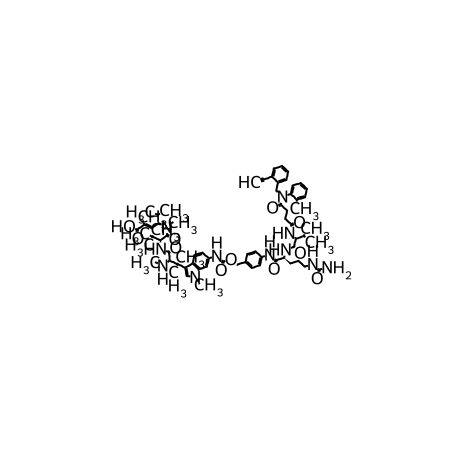 C#Cc1ccccc1CN(C(=O)CCC(=O)N[C@H](C(=O)N[C@@H](CCCNC(N)=O)C(=O)Nc1ccc(COC(=O)Nc2ccc3c(C(C)(C)C(NC)C(=O)N[C@H](C(=O)N(C)[C@H](/C=C(\C)C(=O)O)C(C)C)C(C)(C)C)cn(C)c3c2)cc1)C(C)C)c1ccccc1C